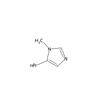 CC[CH]c1cncn1C